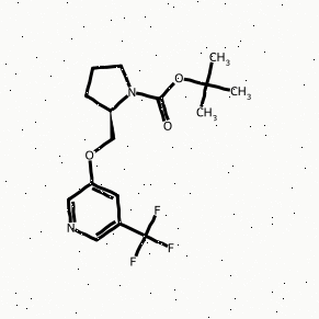 CC(C)(C)OC(=O)N1CCC[C@@H]1COc1cncc(C(F)(F)F)c1